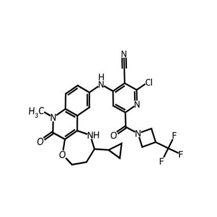 Cn1c(=O)c2c(c3cc(Nc4cc(C(=O)N5CC(C(F)(F)F)C5)nc(Cl)c4C#N)ccc31)NC(C1CC1)CCO2